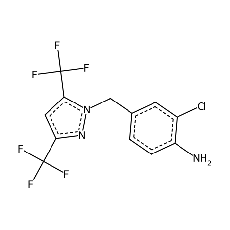 Nc1ccc(Cn2nc(C(F)(F)F)cc2C(F)(F)F)cc1Cl